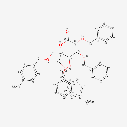 COc1ccc(COCC2(COCc3ccc(OC)cc3)OC(=O)[C@H](OCc3ccccc3)C(OCc3ccccc3)C2OCc2ccccc2)cc1